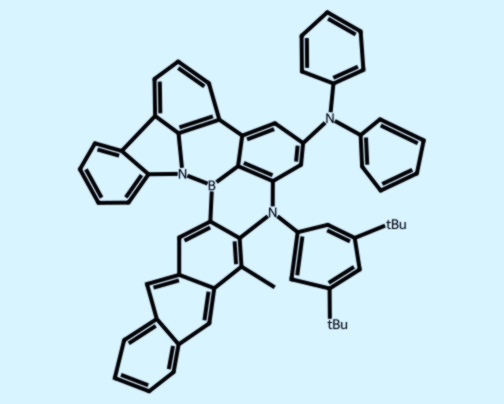 Cc1c2c(cc3cc4ccccc4cc13)B1c3c(cc(N(c4ccccc4)c4ccccc4)cc3N2c2cc(C(C)(C)C)cc(C(C)(C)C)c2)-c2cccc3c4ccccc4n1c23